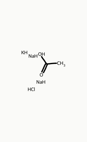 CC(=O)O.Cl.[KH].[NaH].[NaH]